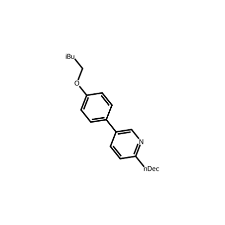 CCCCCCCCCCc1ccc(-c2ccc(OCC(C)CC)cc2)cn1